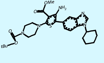 COC(=O)c1c(N2CCN(C(=O)OC(C)(C)C)CC2)sc(-c2ccc3c(c2)ncn3C2CCCCC2)c1N